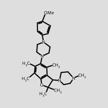 COc1ccc(N2CCN(c3c(C)c(C)c4c(c3C)C(N3CCN(C)CC3)C(C)(C)O4)CC2)cc1